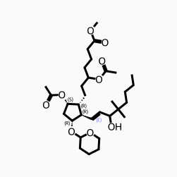 CCCCC(C)(C)C(O)/C=C/[C@@H]1[C@@H](CCC(CCCC(=O)OC)OC(C)=O)[C@@H](OC(C)=O)C[C@H]1OC1CCCCO1